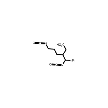 CCCC(N=C=O)C(CCCN=C=O)CC(=O)O